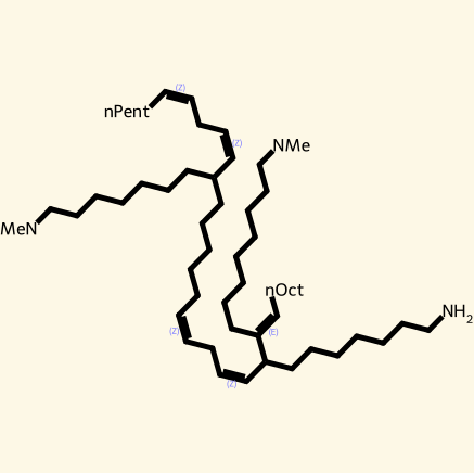 CCCCC/C=C\C/C=C\C(CCCCC/C=C\C/C=C\C(CCCCCCCN)/C(=C/CCCCCCCC)CCCCCCCCNC)CCCCCCCNC